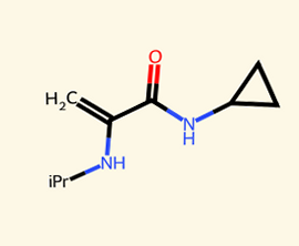 C=C(NC(C)C)C(=O)NC1CC1